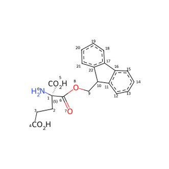 N[C@@](CCC(=O)O)(C(=O)O)C(=O)OCC1c2ccccc2-c2ccccc21